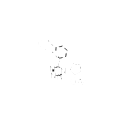 CC(=O)O[C@H]1CCC[C@H]1n1nnnc1-c1cccc([N+](=O)[O-])n1